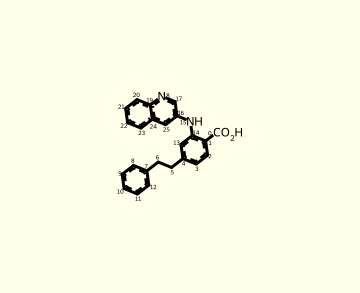 O=C(O)c1ccc(CCc2ccccc2)cc1Nc1cnc2ccccc2c1